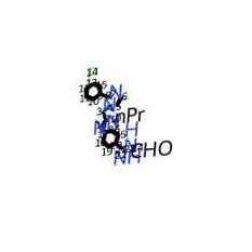 CCCn1c(Cn2ccnc2-c2cccc(F)c2)nc2ccc(C(=N)NC=O)cc21